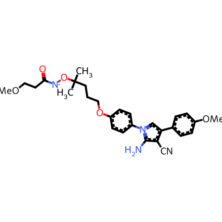 COCCC(=O)[N]OC(C)(C)CCCOc1ccc(-n2cc(-c3ccc(OC)cc3)c(C#N)c2N)cc1